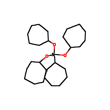 C1CCCC(O[Si](OC2CCCCCC2)(OC2CCCCCC2)C2CCCCCC2)CC1